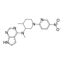 CC1CCN(c2ccc([N+](=O)[O-])cn2)CC1N(C)c1ncnc2[nH]ccc12